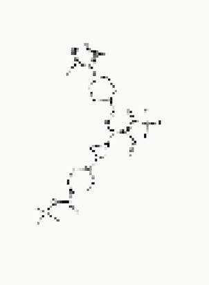 C=Cc1c(N2CC(N3CCN(C(=O)OC(C)(C)C)CC3)C2)cc(N2CCC(c3c(C)cnn3C)CC2)nc1C(F)(F)F